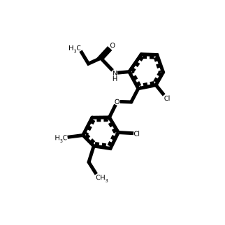 CCC(=O)Nc1cccc(Cl)c1COc1cc(C)c(CC)cc1Cl